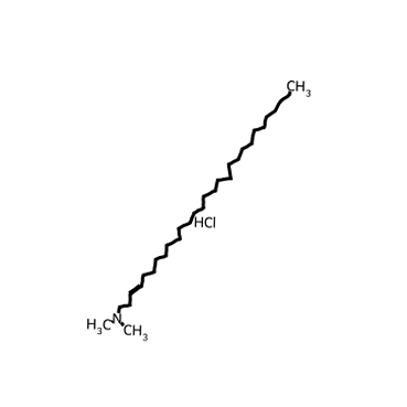 CCCCCCCCCCCCCCCCCCCCCCCCCC=CCCN(C)C.Cl